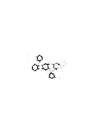 CC1(C)CC(N=c2cc3n(-c4cccc(C(F)(F)F)c4)c4ccccc4nc-3cc2Nc2cccc(C(F)(F)F)c2)CC(C)(C)N1